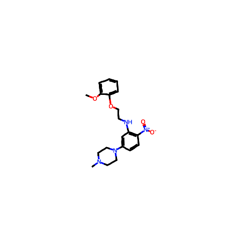 COc1ccccc1OCCNc1cc(N2CCN(C)CC2)ccc1[N+](=O)[O-]